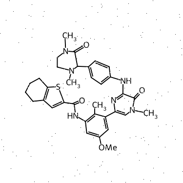 COc1cc(NC(=O)c2cc3c(s2)CCCC3)c(C)c(-c2cn(C)c(=O)c(Nc3ccc(C4C(=O)N(C)CCN4C)cc3)n2)c1